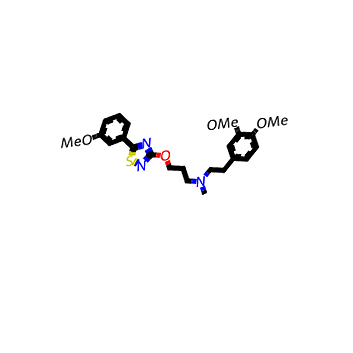 COc1cccc(-c2nc(OCCCN(C)CCc3ccc(OC)c(OC)c3)ns2)c1